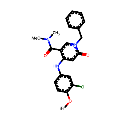 CON(C)C(=O)c1cn(Cc2ccccc2)c(=O)cc1Nc1ccc(OC(C)C)c(Cl)c1